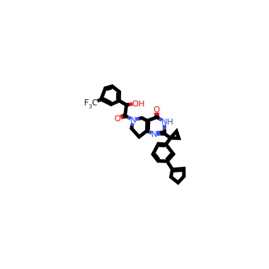 O=C(C(O)c1cccc(C(F)(F)F)c1)N1CCc2nc(C3(c4cccc(C5=CCCC5)c4)CC3)[nH]c(=O)c2C1